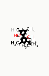 CCc1cc(-c2cc(C)cc(C)c2O)c(O)c(C(C)(C)C)c1